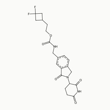 O=C1CCC(N2Cc3ccc(CNC(=O)OCCC4CC(F)(F)C4)cc3C2=O)C(=O)N1